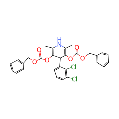 CC1=C(OC(=O)OCc2ccccc2)C(c2cccc(Cl)c2Cl)C(OC(=O)OCc2ccccc2)=C(C)N1